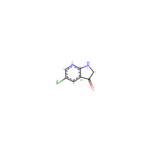 O=C1CNc2ncc(Br)cc21